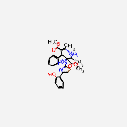 COC(=O)C1=C(C)NC(C)C(Nc2nc(-c3ccccc3O)cs2)(C(=O)OC)C1c1ccccc1